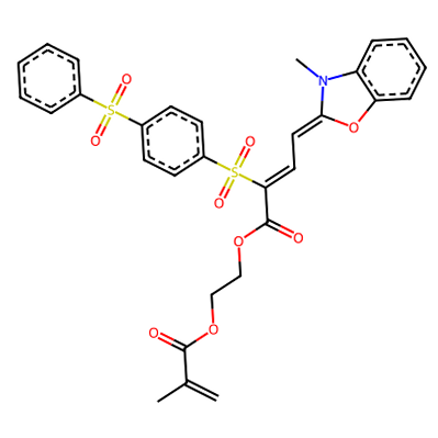 C=C(C)C(=O)OCCOC(=O)/C(=C/C=C1\Oc2ccccc2N1C)S(=O)(=O)c1ccc(S(=O)(=O)c2ccccc2)cc1